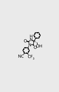 N#Cc1ccc(N2C(=O)N[C@@](CO)(c3ccccc3)C2=O)cc1C(F)(F)F